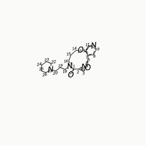 O=C1c2coc(n2)-c2ccncc2OCCCN1CCCN1CCCCC1